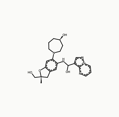 C[C@]1(CO)Cc2cc(NC(O)c3cnn4cccnc34)c(N3CCC[C@@H](O)CC3)cc2O1